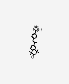 CC(=Cc1ccc(-c2nnn[nH]2)cc1)c1ccc2c(c1)C(C)(C)CC(=O)C2(C)C